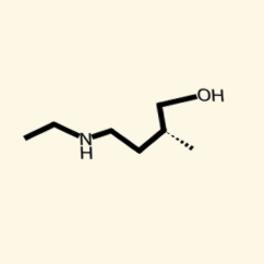 CCNCC[C@@H](C)CO